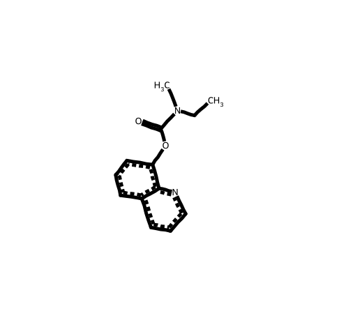 CCN(C)C(=O)Oc1cccc2cccnc12